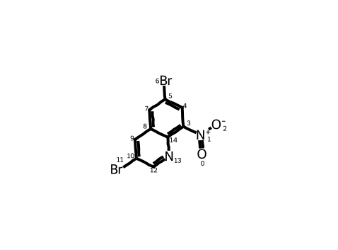 O=[N+]([O-])c1cc(Br)cc2cc(Br)cnc12